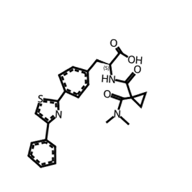 CN(C)C(=O)C1(C(=O)N[C@@H](Cc2ccc(-c3nc(-c4ccccc4)cs3)cc2)C(=O)O)CC1